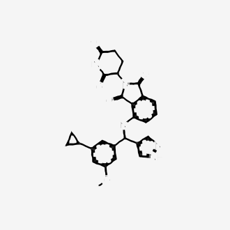 CC(C)Oc1cc(C2CC2)cc(C(Nc2cccc3c2C(=O)N(C2CCC(=O)NC2=O)C3=O)c2cn[nH]c2)c1